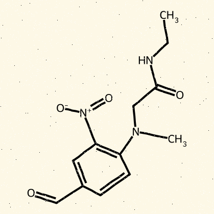 CCNC(=O)CN(C)c1ccc(C=O)cc1[N+](=O)[O-]